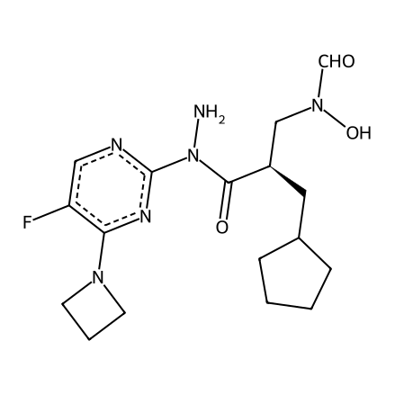 NN(C(=O)[C@H](CC1CCCC1)CN(O)C=O)c1ncc(F)c(N2CCC2)n1